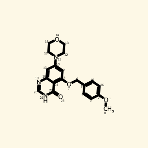 COc1ccc(COc2cc(N3CCOCC3)cc3nc[nH]c(=O)c23)cc1